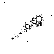 CCC(C)CNCCCOc1cccc(NC(=O)c2c[nH]c3c2C(=O)CCCC3)c1